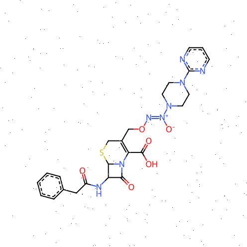 O=C(Cc1ccccc1)NC1C(=O)N2C(C(=O)O)=C(CO/N=[N+](\[O-])N3CCN(c4ncccn4)CC3)CSC12